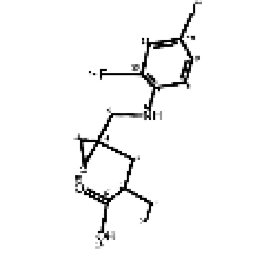 CCC(CC1(CNc2ccc(I)cc2F)CC1)C(=O)O